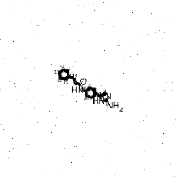 Nc1ncc(-c2ccc(NC(=O)C=Cc3ccccc3)cc2)[nH]1